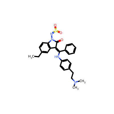 CCc1ccc2c(c1)C(=C(Nc1ccc(CCN(C)C)cc1)c1ccccc1)C(=O)N2N=S(=O)=O